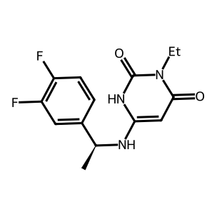 CCn1c(=O)cc(N[C@@H](C)c2ccc(F)c(F)c2)[nH]c1=O